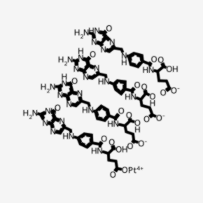 Nc1nc2ncc(CNc3ccc(C(=O)NC(CCC(=O)[O-])C(=O)O)cc3)nc2c(=O)[nH]1.Nc1nc2ncc(CNc3ccc(C(=O)NC(CCC(=O)[O-])C(=O)O)cc3)nc2c(=O)[nH]1.Nc1nc2ncc(CNc3ccc(C(=O)NC(CCC(=O)[O-])C(=O)O)cc3)nc2c(=O)[nH]1.Nc1nc2ncc(CNc3ccc(C(=O)NC(CCC(=O)[O-])C(=O)O)cc3)nc2c(=O)[nH]1.[Pt+4]